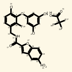 N#Cc1cc(Cl)cc(Oc2c(Cl)ccc(CNC(=O)c3cc4cc([N+](=O)[O-])ccc4o3)c2F)c1.O=C(O)C(F)(F)F